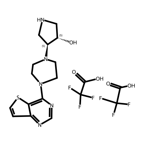 O=C(O)C(F)(F)F.O=C(O)C(F)(F)F.O[C@H]1CNC[C@@H]1N1CCN(c2ncnc3ccsc23)CC1